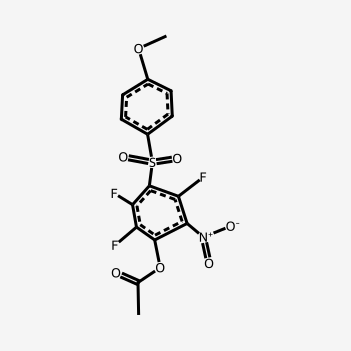 COc1ccc(S(=O)(=O)c2c(F)c(F)c(OC(C)=O)c([N+](=O)[O-])c2F)cc1